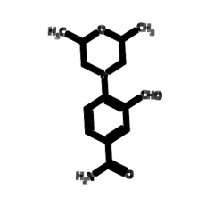 CC1CN(c2ccc(C(N)=O)cc2C=O)CC(C)O1